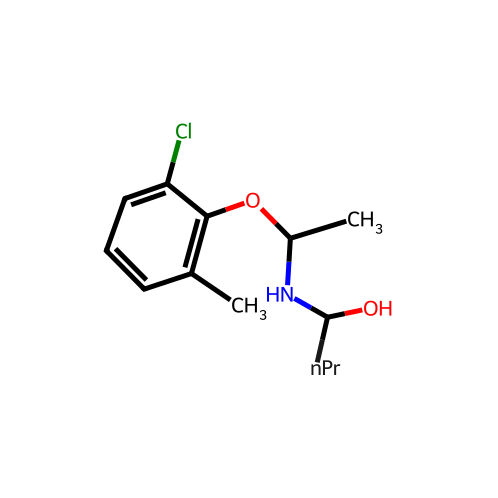 CCCC(O)NC(C)Oc1c(C)cccc1Cl